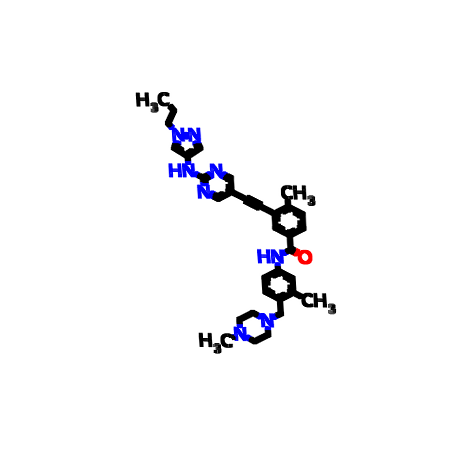 CCCn1cc(Nc2ncc(C#Cc3cc(C(=O)Nc4ccc(CN5CCN(C)CC5)c(C)c4)ccc3C)cn2)cn1